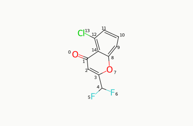 O=c1cc(C(F)F)oc2cccc(Cl)c12